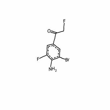 Nc1c(F)cc(C(=O)CF)cc1Br